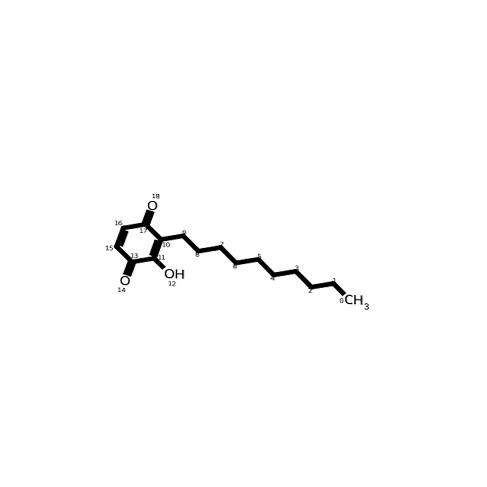 CCCCCCCCCCC1=C(O)C(=O)C=CC1=O